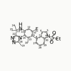 CCS(=O)(=O)n1ccc2c(-c3c(F)cc4c(c3C)-n3c(C)nnc3C(C)(C)N4)cccc21